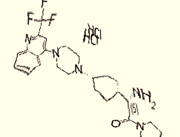 Cl.Cl.N[C@H](C(=O)N1CCSC1)[C@H]1CC[C@@H](N2CCN(c3cc(C(F)(F)F)nc4ccccc34)CC2)CC1